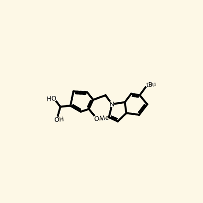 COc1cc(C(O)O)ccc1CN1C=CC2C=CC(C(C)(C)C)=CC21